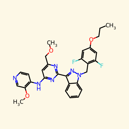 CCCOc1cc(F)c(Cn2nc(-c3nc(COC)cc(Nc4ccncc4OC)n3)c3ccccc32)c(F)c1